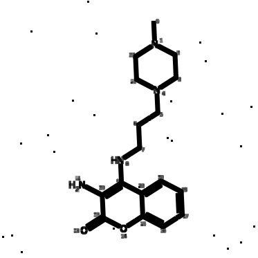 CN1CCN(CCCNc2c(N)c(=O)oc3ccccc23)CC1